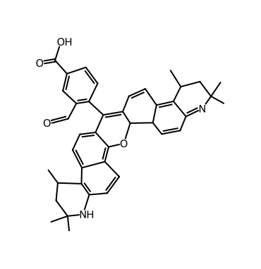 CC1CC(C)(C)N=C2C=CC3C(=C21)C=CC1=C(c2ccc(C(=O)O)cc2C=O)c2ccc4c5c(ccc4c2OC13)NC(C)(C)CC5C